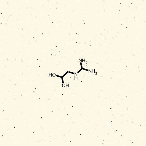 NC(N)NCC(O)O